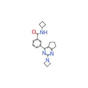 O=C(NC1CCC1)c1cccc(-c2nc(N3CCC3)nc3c2CCC3)c1